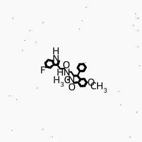 COc1ccc2c(=O)n(C)c(CNC(=O)Cc3c[nH]c4ccc(F)cc34)c(-c3ccccc3)c2c1